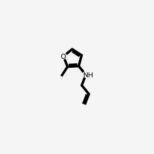 C=CCNc1ccoc1C